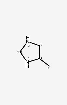 CC1CN[C]N1